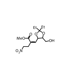 CCC1(CC)OC(C=C(CC[N+](=O)[O-])C(=O)OC)C(CO)O1